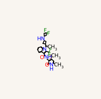 CSc1cc(C)[nH]c(=O)c1CNC(=O)c1c(C(F)F)n([C@H](C)C2CC(NC3CC(F)(F)C3)C2)c2ccccc12